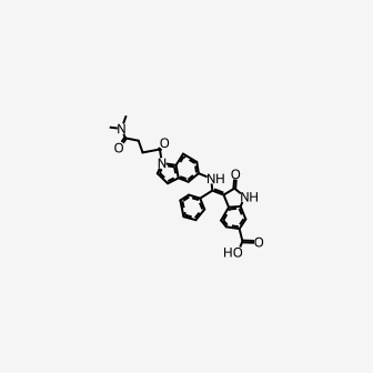 CN(C)C(=O)CCC(=O)n1ccc2cc(N/C(=C3\C(=O)Nc4cc(C(=O)O)ccc43)c3ccccc3)ccc21